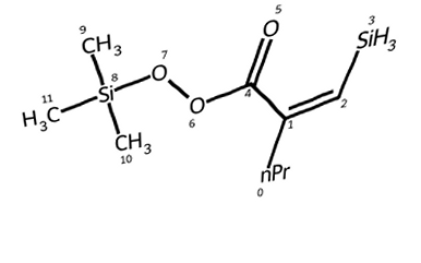 CCCC(=C[SiH3])C(=O)OO[Si](C)(C)C